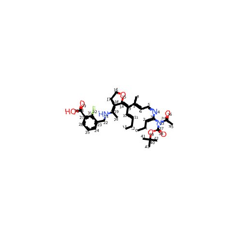 CC/C=C(/N=C\C=C(/C)C(/C=C/CC)=C1OCC/C1=C(/C)NCc1cccc(C(=O)O)c1F)N(C(C)=O)C(=O)OC(C)(C)C